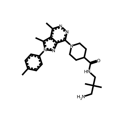 Cc1ccc(-n2nc3c(N4CCC(C(=O)NCC(C)(C)CN)CC4)nnc(C)c3c2C)cc1